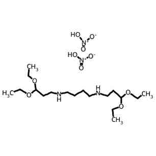 CCOC(CCNCCCCNCCC(OCC)OCC)OCC.O=[N+]([O-])O.O=[N+]([O-])O